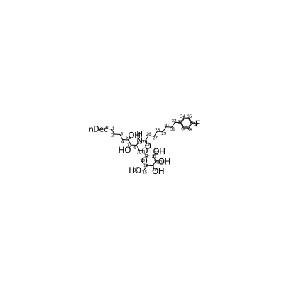 CCCCCCCCCCCCCC[C@@H](O)[C@@H](O)[C@H](CO[C@H]1OC(CO)[C@H](O)C(O)[C@@H]1O)NC(=O)CCCCCCCc1ccc(F)cc1